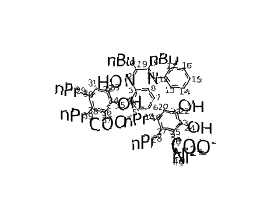 CCCCC(=Nc1ccccc1)C(CCCC)=Nc1ccccc1.CCCc1cc(O)c(O)c(C(=O)[O-])c1CCC.CCCc1cc(O)c(O)c(C(=O)[O-])c1CCC.[Ni+2]